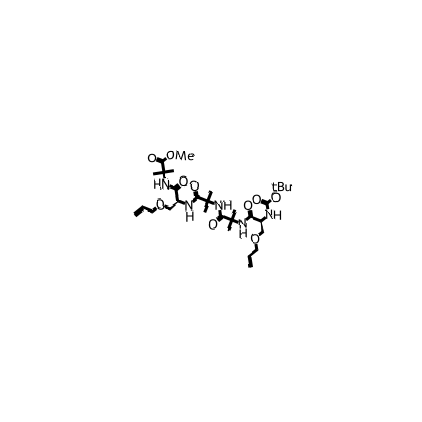 C=CCOC[C@H](NC(=O)OC(C)(C)C)C(=O)NC(C)(C)C(=O)NC(C)(C)C(=O)N[C@@H](COCC=C)C(=O)NC(C)(C)C(=O)OC